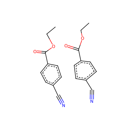 CCOC(=O)c1ccc(C#N)cc1.CCOC(=O)c1ccc(C#N)cc1